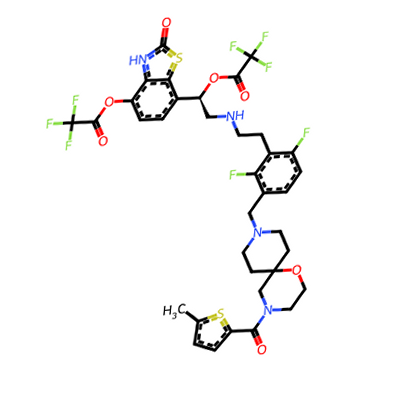 Cc1ccc(C(=O)N2CCOC3(CCN(Cc4ccc(F)c(CCNC[C@H](OC(=O)C(F)(F)F)c5ccc(OC(=O)C(F)(F)F)c6[nH]c(=O)sc56)c4F)CC3)C2)s1